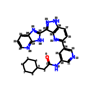 O=C(CC1CCCCC1)Nc1cncc(-c2ccc3[nH]nc(-c4nc5cccnc5[nH]4)c3n2)c1